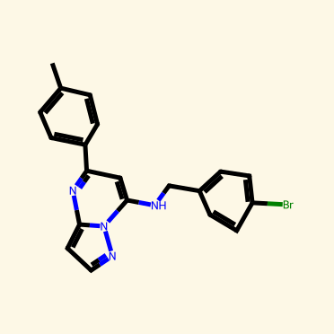 Cc1ccc(-c2cc(NCc3ccc(Br)cc3)n3nccc3n2)cc1